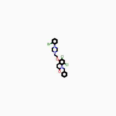 O=C1CCc2c(OCCN3CCN(c4ccccc4Br)CC3)c(Cl)cc(Cl)c2N1Cc1ccccc1